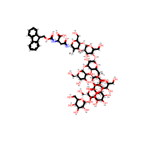 CC1C(O)[C@H](O[C@@H]2OC(CO)[C@H](O)C(O)[C@@H]2O)[C@H](CO)O[C@H]1O[C@@H]1C(O)[C@H](O)C(CO)O[C@@H]1OCC1O[C@@H](O[C@@H]2C(CO)O[C@@H](O[C@@H]3C(CO)O[C@@H](NC(=O)CC(NC(=O)OCC4c5ccccc5-c5ccccc54)C(=O)O)C(C)C3O)[C@@H](C)C2O)[C@H](O)C(O[C@H]2O[C@H](CO)[C@@H](O)C(O)C2O[C@@H]2OC(CO)[C@@H](O[C@@H]3OC(CO)[C@H](O)C(O)[C@@H]3O)C(O)[C@@H]2C)[C@@H]1O